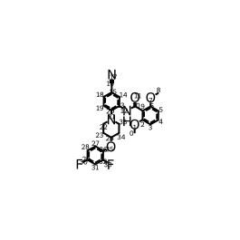 COc1cccc(OC)c1C(=O)Nc1cc(C#N)ccc1N1CCC(Oc2ccc(F)cc2F)CC1